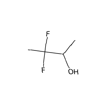 CC(O)C(C)(F)F